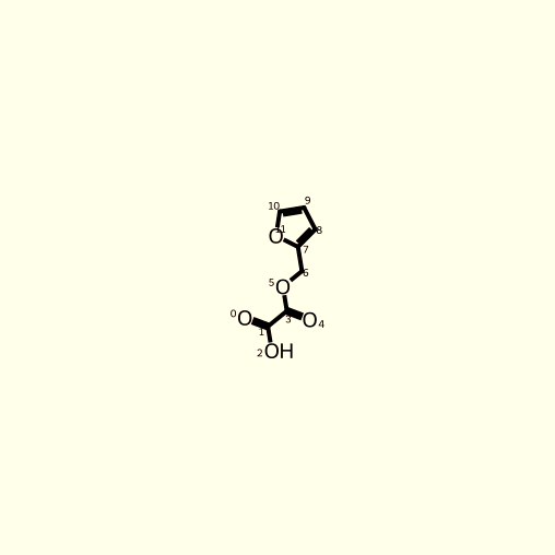 O=C(O)C(=O)OCc1ccco1